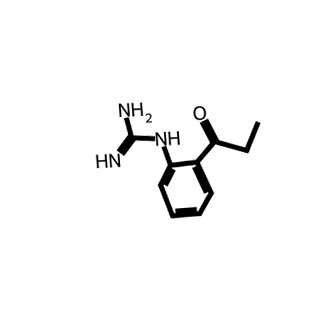 CCC(=O)c1ccccc1NC(=N)N